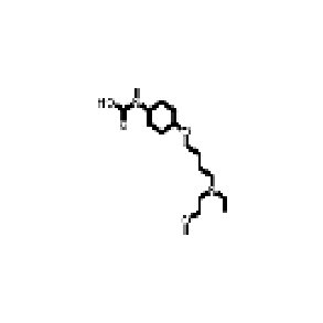 CCN(CCCCOC1CCC(N(C)C(=O)O)CC1)CCOC